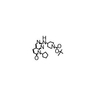 CC(C)(C)OC(=O)N1CCC(Nc2ncc3ccc(=O)n(C4CCCC4)c3n2)CC1